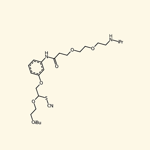 CC(C)COCCOC(COc1cccc(NC(=O)CCOCCOCCNC(C)C)c1)SC#N